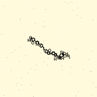 CC1(C)Cc2[nH]nc(-c3cc4ccc(N5CCC6(CCN(CCC7CCN(c8ccc(C9CCC(=O)NC9=O)cn8)CC7)CC6)C5=O)cc4[nH]3)c2CC1(F)F